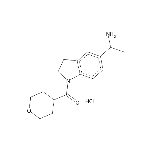 CC(N)c1ccc2c(c1)CCN2C(=O)C1CCOCC1.Cl